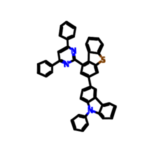 c1ccc(-c2cc(-c3ccccc3)nc(-c3cc(-c4ccc5c(c4)c4ccccc4n5-c4ccccc4)cc4sc5ccccc5c34)n2)cc1